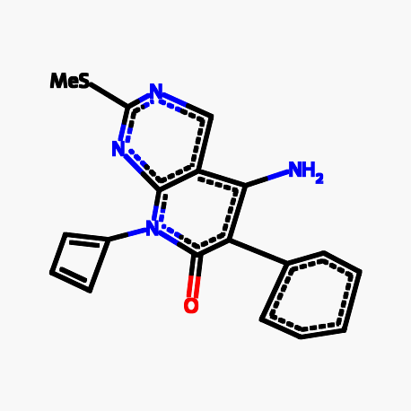 CSc1ncc2c(N)c(-c3ccccc3)c(=O)n(C3=CC=C3)c2n1